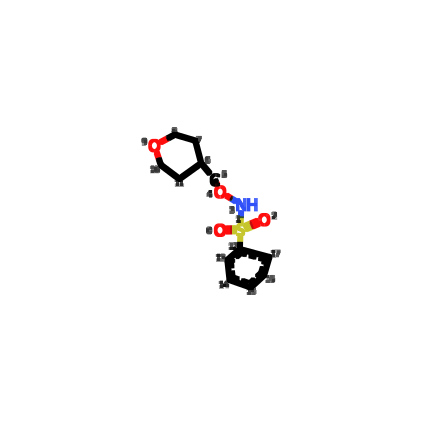 O=S(=O)(NOCC1CCOCC1)c1ccccc1